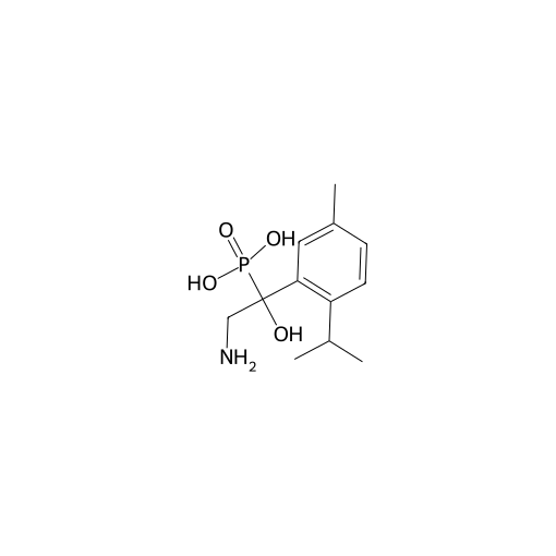 Cc1ccc(C(C)C)c(C(O)(CN)P(=O)(O)O)c1